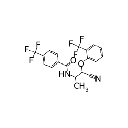 CC(NC(=O)c1ccc(C(F)(F)F)cc1)C(C#N)Oc1ccccc1C(F)(F)F